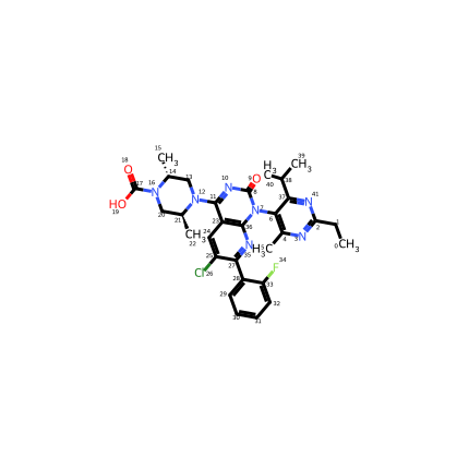 CCc1nc(C)c(-n2c(=O)nc(N3C[C@@H](C)N(C(=O)O)C[C@@H]3C)c3cc(Cl)c(-c4ccccc4F)nc32)c(C(C)C)n1